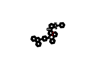 c1ccc(-c2nc3ccc4oc5cc(N(c6ccc(-c7cc8ccccc8c8ccccc78)cc6)c6ccccc6-c6ccccc6)ccc5c4c3s2)cc1